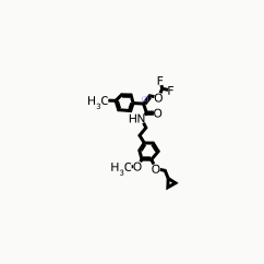 COc1cc(CCNC(=O)/C(=C\OC(F)F)c2ccc(C)cc2)ccc1OCC1CC1